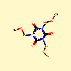 N#COBn1c(=O)n(BOC#N)c(=O)n(BOC#N)c1=O